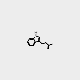 C=C(C)CCc1c[nH]c2ccccc12